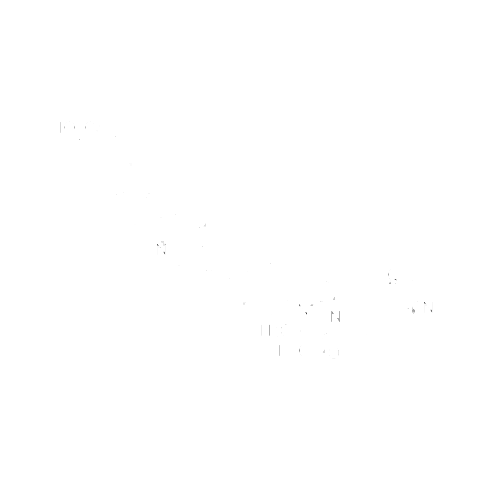 CC1(C)C(=O)N(c2ccc(C#N)c(C(F)(F)F)c2)C(=S)N1c1ccc(C#Cc2ccc(CCCCCCC(=O)O)nc2)cc1